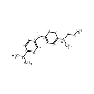 CC(C)c1ccc(OC2=CC=C(N(C)CCO)CC2)cc1